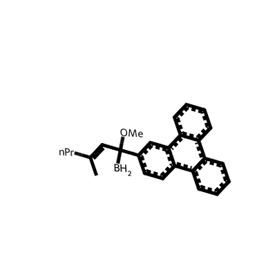 BC(C=C(C)CCC)(OC)c1ccc2c3ccccc3c3ccccc3c2c1